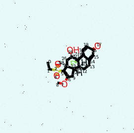 CCS(=O)(=O)C1=C(OC)C[C@H]2[C@@H]3CCC4=CC(=O)C=C[C@]4(C)C3(F)[C@@H](O)C[C@]12C